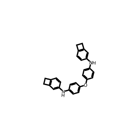 c1cc(Oc2ccc(Nc3ccc4c(c3)CC4)cc2)ccc1Nc1ccc2c(c1)CC2